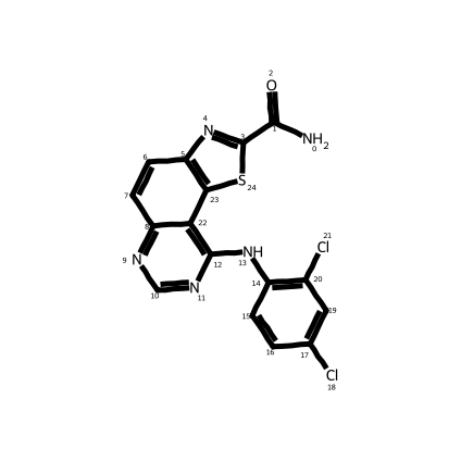 NC(=O)c1nc2ccc3ncnc(Nc4ccc(Cl)cc4Cl)c3c2s1